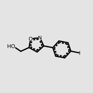 OCc1cc(-c2ccc(I)cc2)no1